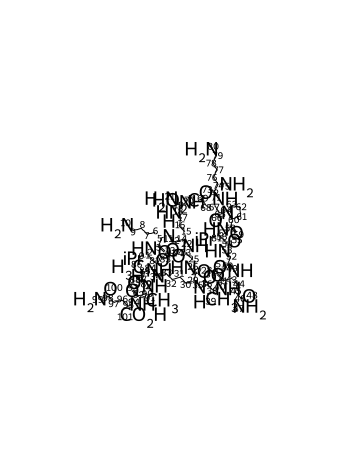 CC(C)[C@H](NC(=O)[C@H](CCCCN)NC(=O)[C@H](CCCNC(=N)N)NC(=O)CNC(=O)[C@H](CCCCN)NC(=O)[C@H](C)NC(=O)[C@H](CCC(N)=O)NC(=O)CNC(=O)[C@@H](NC(=O)[C@@H]1CCCN1C(=O)[C@H](CCC(=O)O)NC(=O)[C@@H](N)CCCCN)C(C)C)C(=O)N[C@@H](C)C(=O)N[C@@H](C)C(=O)N[C@@H](CCC(N)=O)C(=O)O